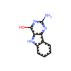 Nc1nc(O)c2[nH]c3ccccc3c2n1